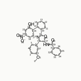 COc1cccc(-c2nc(-c3ccccc3-c3ccc([N+](=O)[O-])cc3O)oc2NC(=O)c2ccccc2)c1